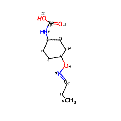 CCC=NOC1CCC(NC(=O)O)CC1